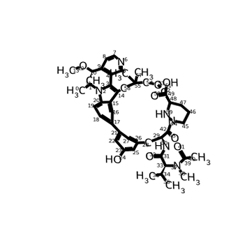 CCn1c(-c2cnccc2[C@H](C)OC)c2c3cc(ccc31)-c1cc(O)cc(c1)C[C@H](NC(=O)[C@H](C(C)C)N(C)C(C)=O)C(=O)N1CCC[C@@](C(=O)O)(COCC(C)(C)C2)N1